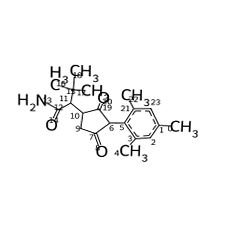 Cc1cc(C)c(C2C(=O)CC(C(C(N)=O)C(C)(C)C)C2=O)c(C)c1